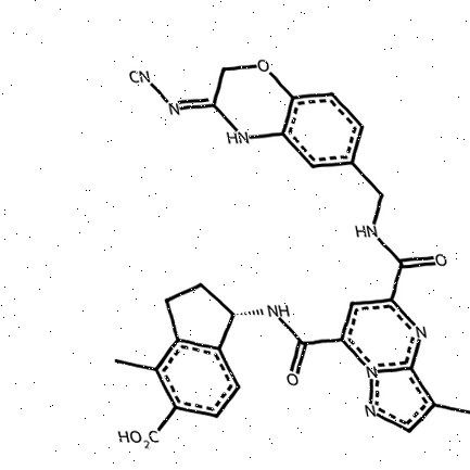 [C-]#[N+]/N=C1\COc2ccc(CNC(=O)c3cc(C(=O)N[C@H]4CCc5c4ccc(C(=O)O)c5C)n4ncc(F)c4n3)cc2N1